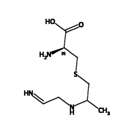 CC(CSC[C@@H](N)C(=O)O)NCC=N